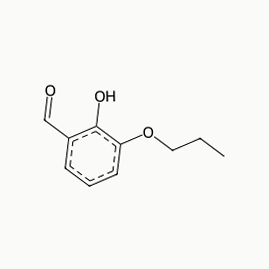 CCCOc1cccc(C=O)c1O